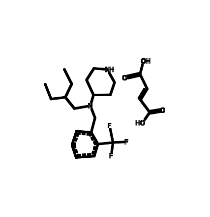 CCC(CC)CN(Cc1ccccc1C(F)(F)F)C1CCNCC1.O=C(O)/C=C/C(=O)O